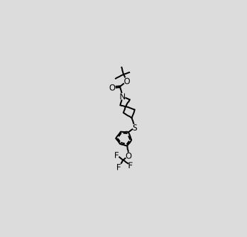 CC(C)(C)OC(=O)N1CC2(CC(Sc3cccc(OC(F)(F)F)c3)C2)C1